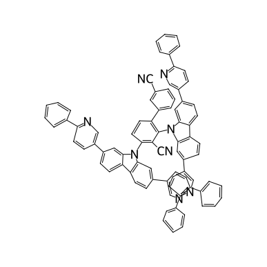 N#Cc1cccc(-c2ccc(-n3c4cc(-c5ccc(-c6ccccc6)nc5)ccc4c4ccc(-c5ccc(-c6ccccc6)nc5)cc43)c(C#N)c2-n2c3cc(-c4ccc(-c5ccccc5)nc4)ccc3c3ccc(-c4ccc(-c5ccccc5)nc4)cc32)c1